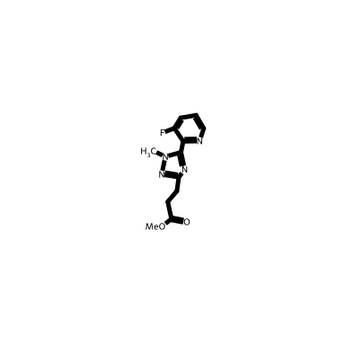 COC(=O)CCc1nc(-c2ncccc2F)n(C)n1